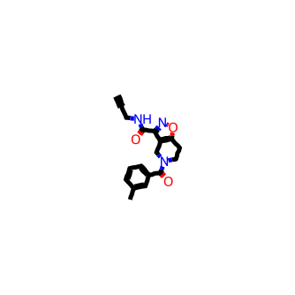 C#CCNC(=O)c1noc2c1CN(C(=O)c1cccc(C)c1)CC2